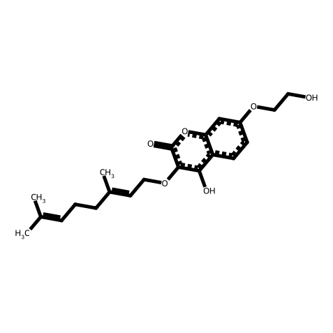 CC(C)=CCC/C(C)=C/COc1c(O)c2ccc(OCCO)cc2oc1=O